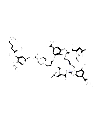 CCn1nc(C)cc1C(=O)/N=c1\[nH]c2cc(C(N)=O)cc(OC)c2n1C/C=C/Cn1/c(=N/C(=O)c2cc(C)nn2CC)[nH]c2cc(C(N)=O)cc(OCCCN3CCN(C(=O)OCC4=[C+]C=C(OS(=O)(=O)O)C(NC(=O)CCCN)=C4)CC3)c21